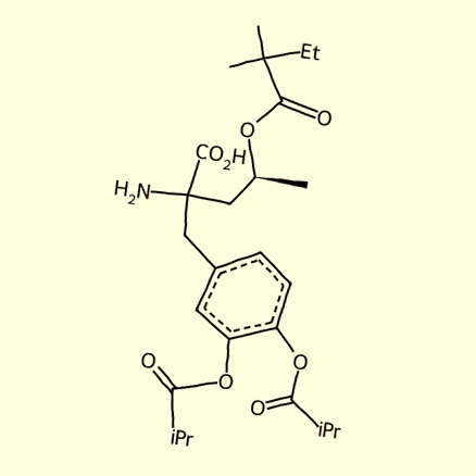 CCC(C)(C)C(=O)O[C@@H](C)CC(N)(Cc1ccc(OC(=O)C(C)C)c(OC(=O)C(C)C)c1)C(=O)O